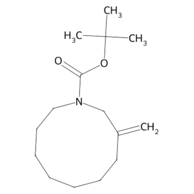 C=C1CCCCCCCN(C(=O)OC(C)(C)C)C1